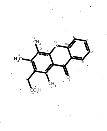 Cc1c(CC(=O)O)c(C)c2c(=O)c3ccccc3sc2c1C